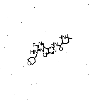 CC1(C)CC[C@@H](C(=O)Nc2cc(-c3cnc(F)c(NCC4CCOCC4)n3)c(Cl)cn2)CN1